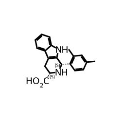 Cc1ccc([C@@H]2N[C@H](C(=O)O)Cc3c2[nH]c2ccccc32)c(C)c1